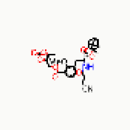 COc1c(CC(NC(=O)CCC#N)B2OC3CC4CC(C4(C)C)C3(C)O2)cccc1C(=O)OCc1oc(=O)oc1C